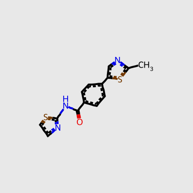 Cc1ncc(-c2ccc(C(=O)Nc3nccs3)cc2)s1